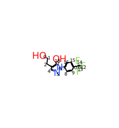 OCCc1cnn(-c2ccc(C(F)(F)F)cc2)c1O